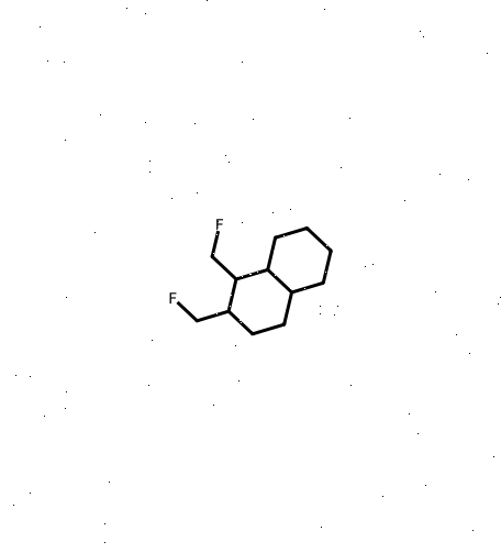 FCC1CCC2CCCCC2C1CF